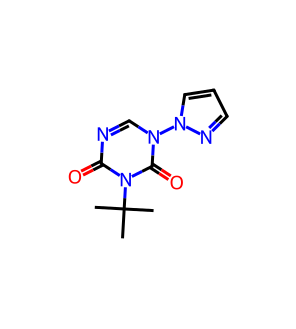 CC(C)(C)n1c(=O)ncn(-n2cccn2)c1=O